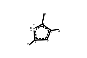 Cc1cc(C)c(C)[se]1